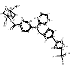 O=C(c1ccc(N(Cc2ccc(-c3noc(C(F)(F)F)n3)s2)c2cnccn2)nn1)N1C[C@@H]2C[C@H]1CO2